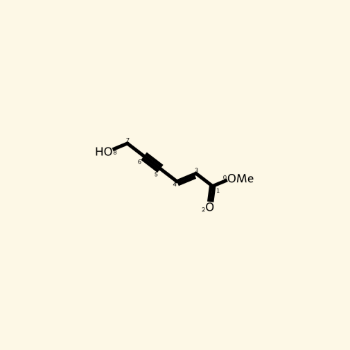 COC(=O)C=CC#CCO